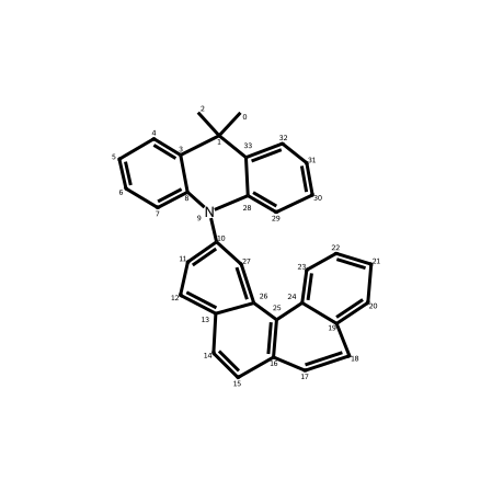 CC1(C)c2ccccc2N(c2ccc3ccc4ccc5ccccc5c4c3c2)c2ccccc21